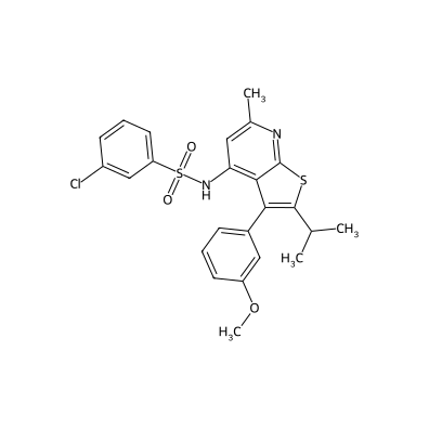 COc1cccc(-c2c(C(C)C)sc3nc(C)cc(NS(=O)(=O)c4cccc(Cl)c4)c23)c1